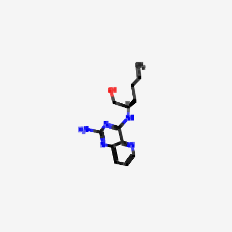 C=CCC[C@H](CO)Nc1nc(N)nc2cccnc12